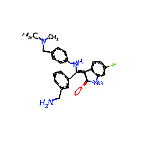 CN(C)Cc1ccc(NC(=C2C(=O)Nc3cc(F)ccc32)c2cccc(CN)c2)cc1